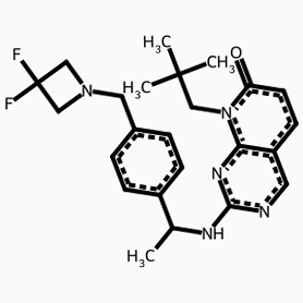 CC(Nc1ncc2ccc(=O)n(CC(C)(C)C)c2n1)c1ccc(CN2CC(F)(F)C2)cc1